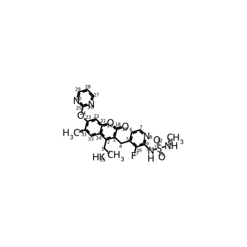 CCc1c(Cc2ccnc(NS(=O)(=O)NC)c2F)c(=O)oc2cc(Oc3ncccn3)c(C)cc12.[KH]